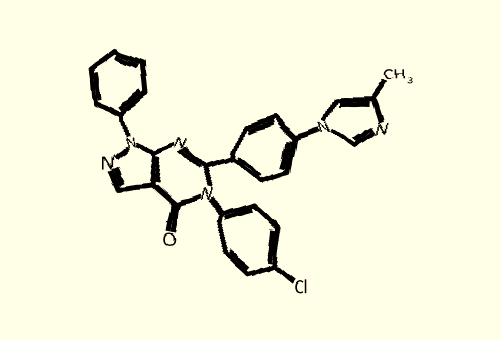 Cc1cn(-c2ccc(-c3nc4c(cnn4-c4ccccc4)c(=O)n3-c3ccc(Cl)cc3)cc2)cn1